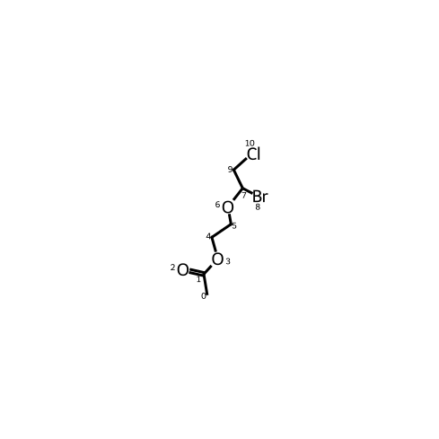 CC(=O)OCCOC(Br)CCl